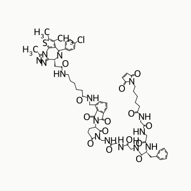 Cc1sc2c(c1C)C(c1ccc(Cl)cc1)=N[C@@H](CC(=O)NCCCCCC(=O)NCc1cccc3c1C(=O)N(C1CCC(=O)N(CNC(=O)CNC(=O)CNC(=O)[C@H](Cc4ccccc4)NC(=O)CNC(=O)CNC(=O)CCCCCN4C(=O)C=CC4=O)C1=O)C3=O)c1nnc(C)n1-2